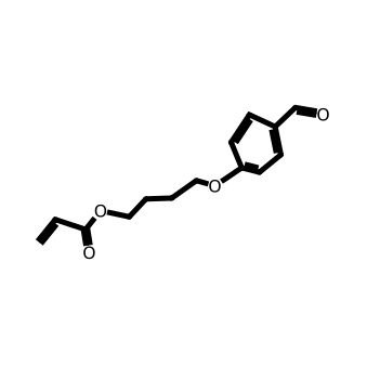 C=CC(=O)OCCCCOc1ccc(C=O)cc1